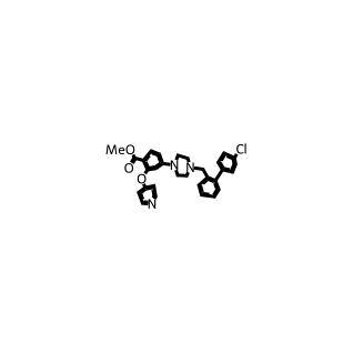 COC(=O)c1ccc(N2CCN(Cc3ccccc3-c3ccc(Cl)cc3)CC2)cc1Oc1ccncc1